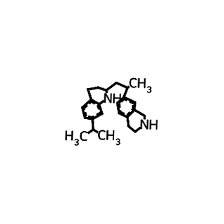 CC(C)c1ccc2c(c1)NC(CC(C)c1ccc3c(c1)CNCC3)CC2